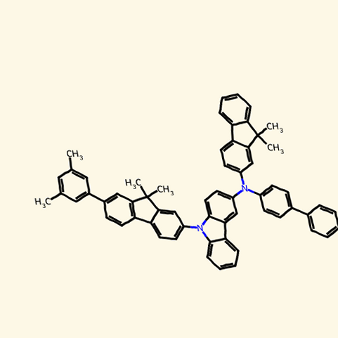 Cc1cc(C)cc(-c2ccc3c(c2)C(C)(C)c2cc(-n4c5ccccc5c5cc(N(c6ccc(-c7ccccc7)cc6)c6ccc7c(c6)C(C)(C)c6ccccc6-7)ccc54)ccc2-3)c1